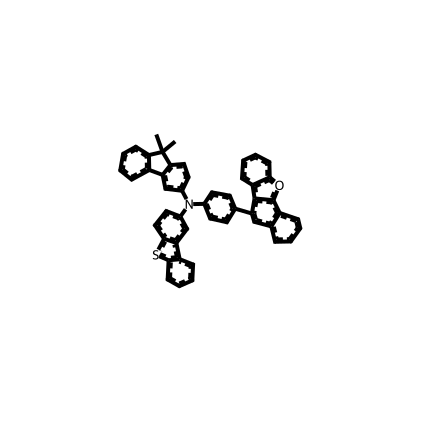 CC1(C)c2ccccc2-c2cc(N(c3ccc(-c4cc5ccccc5c5oc6ccccc6c45)cc3)c3ccc4sc5ccccc5c4c3)ccc21